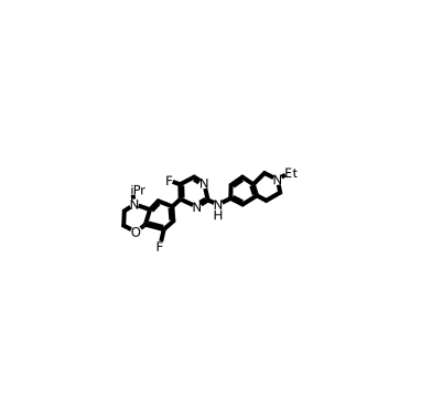 CCN1CCc2cc(Nc3ncc(F)c(-c4cc(F)c5c(c4)N(C(C)C)CCO5)n3)ccc2C1